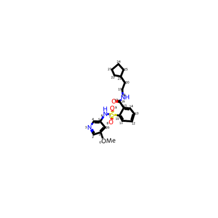 COc1cncc(NS(=O)(=O)c2ccccc2C(=O)NCCC2CCCC2)c1